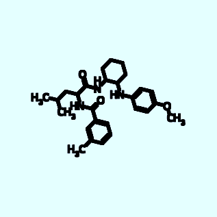 COc1ccc(NC2CCCCC2NC(=O)C(CC(C)C)NC(=O)c2cccc(C)c2)cc1